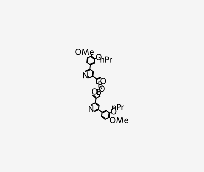 CCCOc1cc(-c2cncc(C3=COB(OB4CC(c5cncc(-c6ccc(OC)c(OCCC)c6)c5)=CO4)C3)c2)ccc1OC